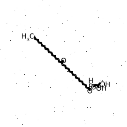 CCCCCCCCC=CCCCCCCCC(=O)CCCCCCCCCCCCCCCC(=O)POCC(O)CO